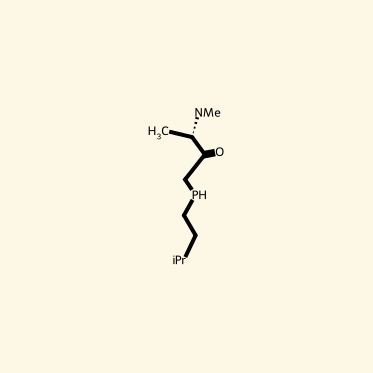 CN[C@@H](C)C(=O)CPCCC(C)C